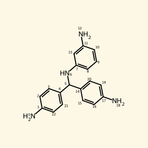 Nc1ccc(C(Nc2cccc(N)c2)c2ccc(N)cc2)cc1